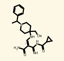 CC(c1ccccc1)N1CCC(CC#N)(N/C=C(\C(=N)NC(=O)C2CC2)C(N)=O)CC1